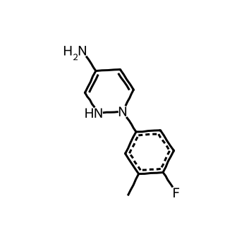 Cc1cc(N2C=CC(N)=CN2)ccc1F